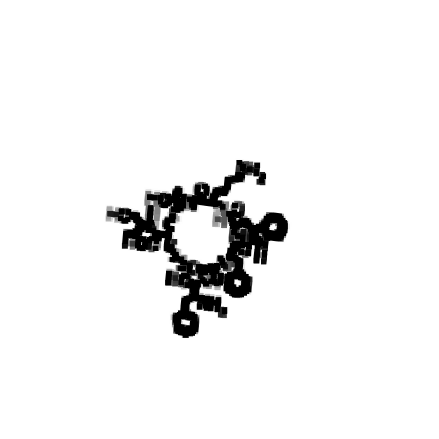 CC(O)C(CO)NC(=O)C1CCC(C(C)O)NC(=O)C(CCCCN)NC(=O)C(Cc2c[nH]c3ccccc23)NC(=O)C(Cc2ccccc2)NC(=O)C(NC(O)C(N)Cc2ccccc2)CSSC1